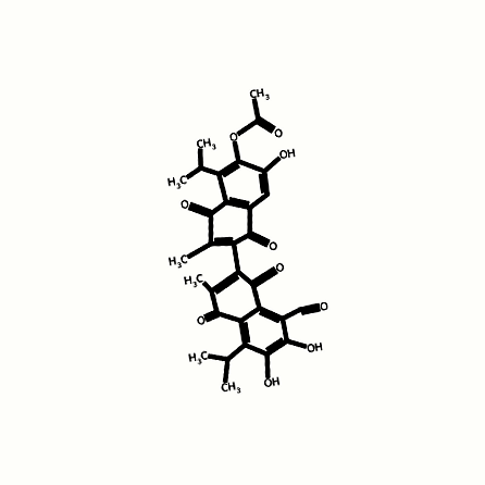 CC(=O)Oc1c(O)cc2c(c1C(C)C)C(=O)C(C)=C(C1=C(C)C(=O)c3c(c(C=O)c(O)c(O)c3C(C)C)C1=O)C2=O